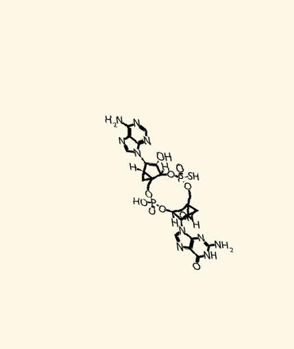 Nc1nc2c(ncn2[C@H]2[C@@H]3OP(=O)(O)OCC45C[C@@H]4[C@@H](n4cnc6c(N)ncnc64)[C@H](O)[C@@H]5O[P@](=O)(S)OCC4(C[C@H]24)[C@H]3O)c(=O)[nH]1